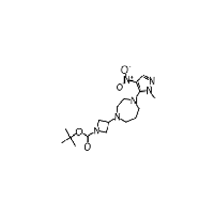 Cn1ncc([N+](=O)[O-])c1N1CCCN(C2CN(C(=O)OC(C)(C)C)C2)CC1